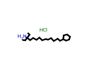 CCC(N)(CC)CCCCCCCCCCCC1CCCCC1.Cl